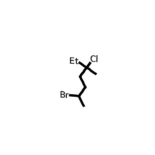 CCC(C)(Cl)CCC(C)Br